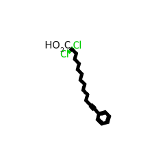 O=C(O)C(Cl)(Cl)CCCCCCCCCCC#Cc1ccccc1